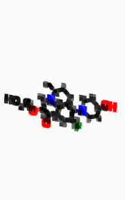 C[C@H]1CCc2c(N3CCC(O)CC3)c(F)cc3c(=O)c(OC(=O)O)cn1c23